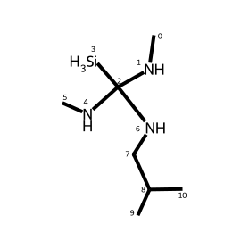 CNC([SiH3])(NC)NCC(C)C